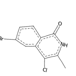 Cc1[nH]c(=O)c2ccc(Br)cc2c1Cl